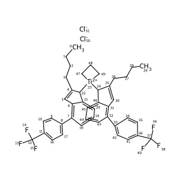 CCCCC1=Cc2c(-c3ccc(C(F)(F)F)cc3)cccc2[CH]1[Ti+2]1([CH]2C(CCCC)=Cc3c(-c4ccc(C(F)(F)F)cc4)cccc32)[CH2]C[CH2]1.[Cl-].[Cl-]